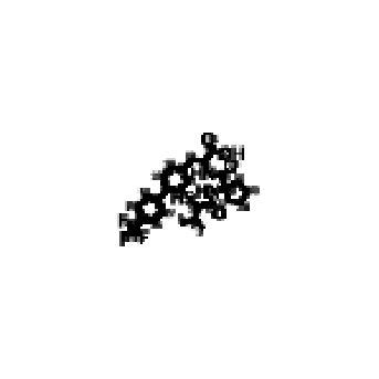 CC(C)C(S)C(=O)NC1(C(=O)NC(Cc2ccc(-c3ccc(C(F)(F)F)cc3)cc2)C(=O)O)CCCC1